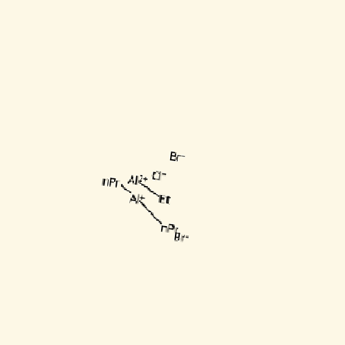 CC[CH2][Al+][CH2]CC.C[CH2][Al+2].[Br-].[Br-].[Cl-]